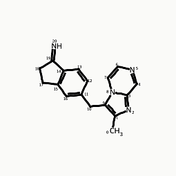 Cc1nc2cnccn2c1Cc1ccc2c(c1)CCC2=N